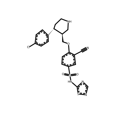 N#Cc1cc(S(=O)(=O)Nc2ncns2)ccc1OC[C@@H]1CNCC[C@H]1c1ccc(Cl)cc1